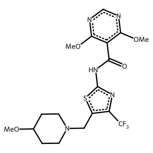 COc1ncnc(OC)c1C(=O)Nc1nc(C(F)(F)F)c(CN2CCC(OC)CC2)s1